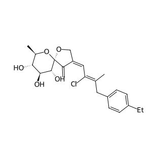 C=C1/C(=C\C(Cl)=C(/C)Cc2ccc(CC)cc2)CO[C@]12O[C@H](C)[C@@H](O)[C@H](O)[C@H]2O